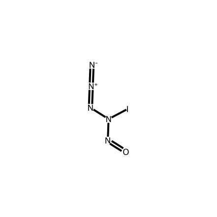 [N-]=[N+]=NN(I)N=O